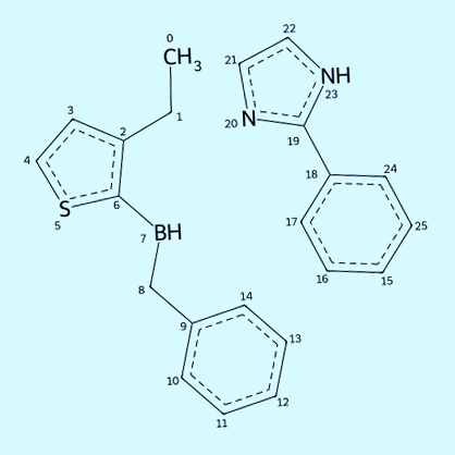 CCc1ccsc1BCc1ccccc1.c1ccc(-c2ncc[nH]2)cc1